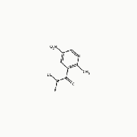 CCN(CC)C(=O)c1cc([N+](=O)[O-])cnc1C